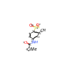 COC(=O)Nc1ccc([SH](=O)=O)c(C#N)c1